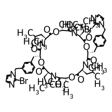 CC(C)C[C@H]1C(=O)O[C@H](Cc2cccc(Cn3ccnc3Br)c2)C(=O)N(C)[C@@H](CC(C)C)C(=O)O[C@H](C)C(=O)N(C)[C@@H](CC(C)C)C(=O)O[C@H](Cc2ccc(Cn3ccnc3Br)cc2)C(=O)N(C)[C@@H](CC(C)C)C(=O)O[C@H](C)C(=O)N1C